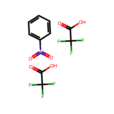 O=C(O)C(F)(F)F.O=C(O)C(F)(F)F.O=I(=O)c1ccccc1